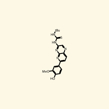 COc1cc(-c2ccc3ncc(NC(=S)NC(C)(C)C)nc3n2)ccc1O